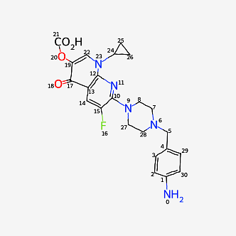 Nc1ccc(CN2CCN(c3nc4c(cc3F)c(=O)c(OC(=O)O)cn4C3CC3)CC2)cc1